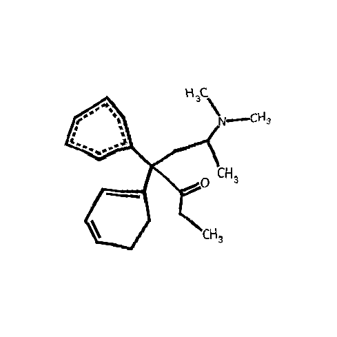 CCC(=O)C(CC(C)N(C)C)(C1=CC=CCC1)c1ccccc1